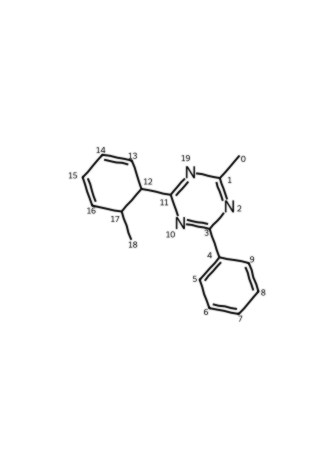 Cc1nc(-c2ccccc2)nc(C2C=CC=CC2C)n1